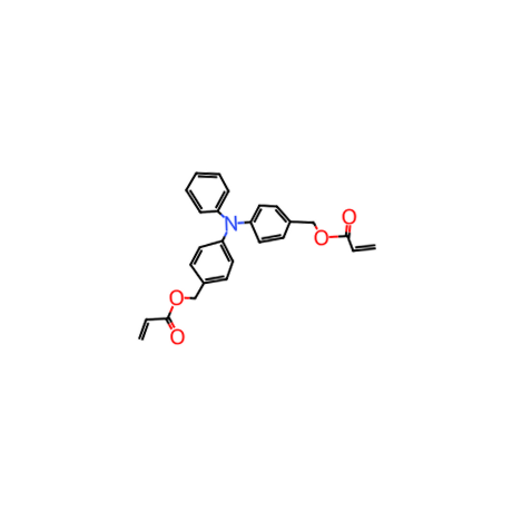 C=CC(=O)OCc1ccc(N(c2ccccc2)c2ccc(COC(=O)C=C)cc2)cc1